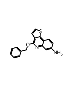 Nc1ccc2c(c1)nc(OCc1ccccc1)c1ccsc12